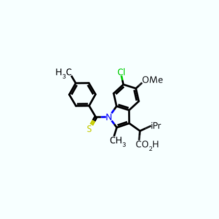 COc1cc2c(C(C(=O)O)C(C)C)c(C)n(C(=S)c3ccc(C)cc3)c2cc1Cl